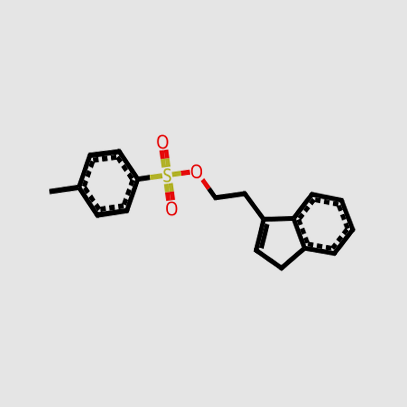 Cc1ccc(S(=O)(=O)OCCC2=CCc3ccccc32)cc1